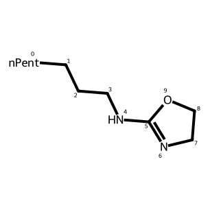 CCCCCCCCNC1=NCCO1